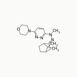 CN(N=C1CC2CCC1C2(C)C)c1ccc(N2CCOCC2)nn1